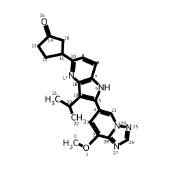 COc1cc(-c2[nH]c3ccc(C4CCC(=O)C4)nc3c2C(C)C)cn2ncnc12